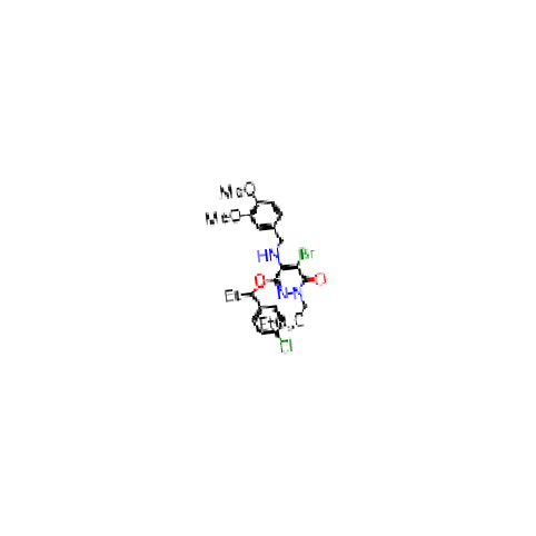 CCOC(=O)Cn1nc(OC(CC)c2ccc(Cl)cc2)c(NCc2ccc(OC)c(OC)c2)c(Br)c1=O